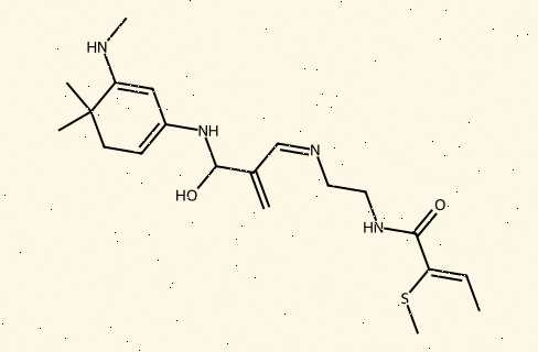 C=C(/C=N\CCNC(=O)/C(=C/C)SC)C(O)NC1=CCC(C)(C)C(NC)=C1